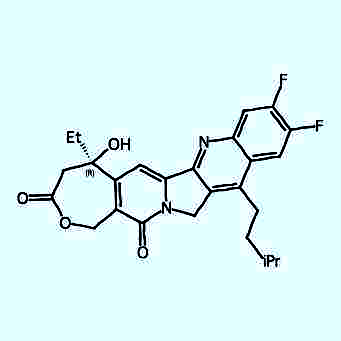 CC[C@@]1(O)CC(=O)OCc2c1cc1n(c2=O)Cc2c-1nc1cc(F)c(F)cc1c2CCC(C)C